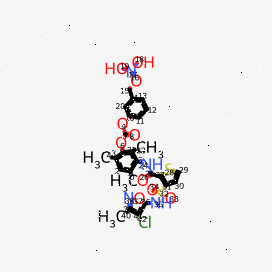 Cc1cc(C)c(OC(=O)Oc2cccc(CON(O)O)c2)c(C)c1NC(=O)c1sccc1S(=O)(=O)Nc1onc(C)c1Cl